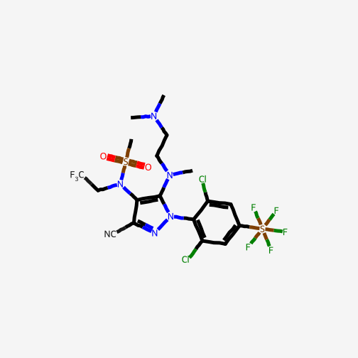 CN(C)CCN(C)c1c(N(CC(F)(F)F)S(C)(=O)=O)c(C#N)nn1-c1c(Cl)cc(S(F)(F)(F)(F)F)cc1Cl